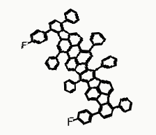 Fc1ccc(-c2ccc(-c3ccccc3)c3c2-c2ccc4c5c(-c6ccccc6)c6c7ccc8c9c%10c(c%11c(-c%12ccccc%12)cc(c6c(-c6ccccc6)c5c5ccc-3c2c45)c7c8%11)=CC=C2c3c(-c4ccccc4)ccc(-c4ccc(F)cc4)c3C(C=C9c3ccccc3)C2%10)cc1